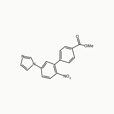 COC(=O)c1ccc(-c2cc(-n3ccnc3)ccc2[N+](=O)[O-])cc1